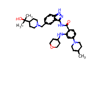 CC1CCN(c2ccc(C(=O)Nc3n[nH]c4ccc(CN5CCC(C(C)(C)O)CC5)cc34)c(NC3CCOCC3)c2)CC1